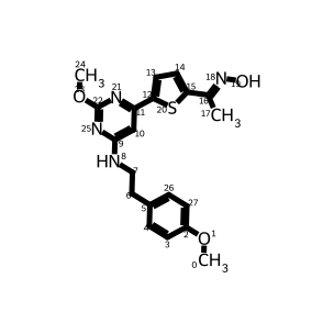 COc1ccc(CCNc2cc(-c3ccc(/C(C)=N/O)s3)nc(OC)n2)cc1